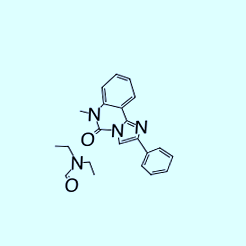 CCN(C=O)CC.Cn1c(=O)n2cc(-c3ccccc3)nc2c2ccccc21